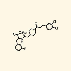 COC(=O)C(Cc1cccc(F)c1)NC(=O)CC1CCN(C(=O)CCc2ccc(Cl)c(Cl)c2)CC1